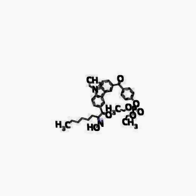 CCCCCC/C(=N\O)C(=O)c1ccc2c(c1)c1cc(C(=O)c3ccc(OP(=O)(OCC)OCC)cc3)ccc1n2CC